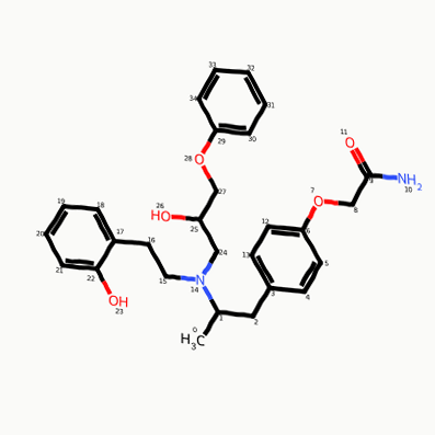 CC(Cc1ccc(OCC(N)=O)cc1)N(CCc1ccccc1O)CC(O)COc1ccccc1